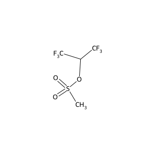 CS(=O)(=O)OC(C(F)(F)F)C(F)(F)F